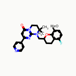 COc1ccc(F)c2c1OC(CN1c3nc(-c4ccncc4)cc(=O)n3CCC1(C)C)CC2